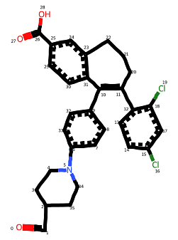 O=CC1CCN(c2ccc(C3=C(c4ccc(Cl)cc4Cl)CCCc4cc(C(=O)O)ccc43)cc2)CC1